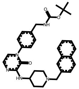 CC(C)(C)OC(=O)NCc1ccc(-n2ccnc(NC3CCN(Cc4ccc5ccccc5c4)CC3)c2=O)cc1